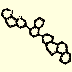 c1ccc2c(c1)ccc1c3ccc(-c4ccc(-c5cnc6c(ccc7cccnc76)c5)c5ccccc45)cc3ccc21